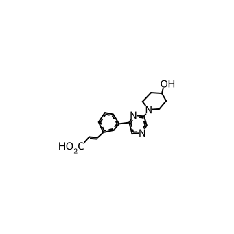 O=C(O)C=Cc1cccc(-c2cncc(N3CCC(O)CC3)n2)c1